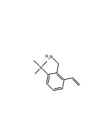 C=Cc1cccc([Si](C)(C)C)c1CN